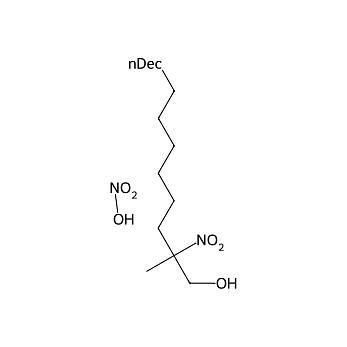 CCCCCCCCCCCCCCCCC(C)(CO)[N+](=O)[O-].O=[N+]([O-])O